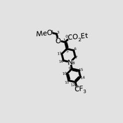 CCOC(=O)C(OCOC)=C1CCN(c2ccc(C(F)(F)F)cc2)CC1